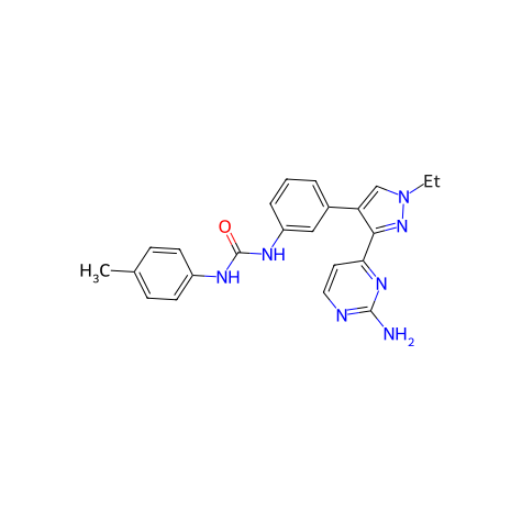 CCn1cc(-c2cccc(NC(=O)Nc3ccc(C)cc3)c2)c(-c2ccnc(N)n2)n1